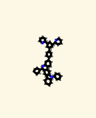 c1ccc(-c2nc3cc(-c4ccc(-c5cc(-c6ccccn6)cc(-c6ccccn6)c5)cc4)ccc3c3cc4c(cc23)c2ccccc2n4-c2ccccc2)cc1